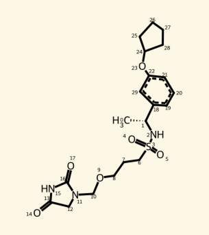 C[C@@H](NS(=O)(=O)CCCOCN1CC(=O)NC1=O)c1cccc(OC2CCCC2)c1